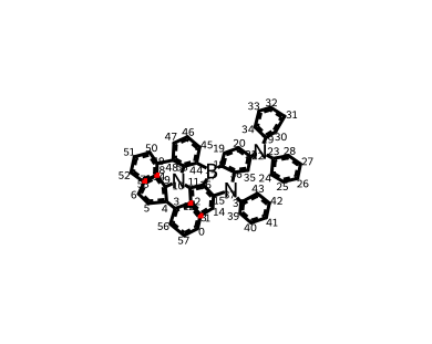 c1ccc(-c2ccccc2N2c3cccc4c3B(c3ccc(N(c5ccccc5)c5ccccc5)cc3N4c3ccccc3)c3cccc(-c4ccccc4)c32)cc1